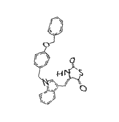 O=C1NC(=Cc2cn(Cc3ccc(OCc4ccccc4)cc3)c3ccccc23)C(=O)S1